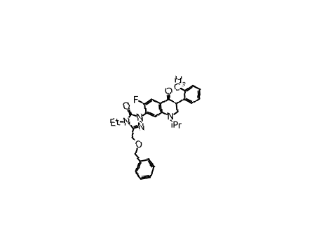 CCn1c(COCc2ccccc2)nn(-c2cc3c(cc2F)C(=O)C(c2ccccc2C)CN3C(C)C)c1=O